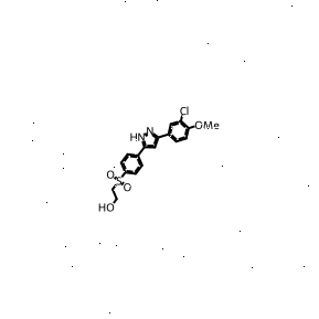 COc1ccc(-c2cc(-c3ccc(S(=O)(=O)CCO)cc3)[nH]n2)cc1Cl